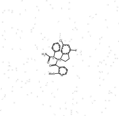 CSc1ncccc1C(=O)N([C@@H]1CCc2c(F)cc(Cl)cc21)[C@@H](C(N)=O)c1ccccc1